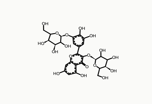 O=c1c(O[C@@H]2OC(CO)[C@H](O)C(O)C2O)c(-c2cc(O)c(O)c(O[C@@H]3OC(CO)[C@H](O)[C@H](O)C3O)c2)oc2cc(O)cc(O)c12